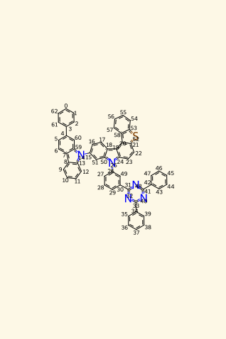 c1ccc(-c2ccc3c4ccccc4n(-c4ccc5c6c7c(ccc6n(-c6cccc(-c8nc(-c9ccccc9)nc(-c9ccccc9)n8)c6)c5c4)sc4ccccc47)c3c2)cc1